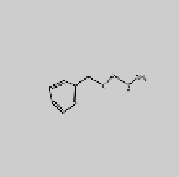 NNSOCc1ccccc1